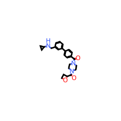 O=C(c1ccc(-c2cccc(CNC3CC3)c2)cc1)N1CCN(C(=O)C2CCO2)CC1